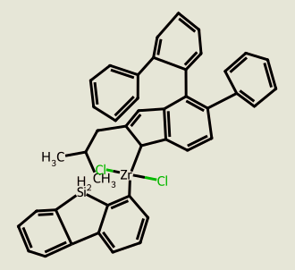 CC(C)CC1=Cc2c(ccc(-c3ccccc3)c2-c2ccccc2-c2ccccc2)[CH]1[Zr]([Cl])([Cl])[c]1cccc2c1[SiH2]c1ccccc1-2